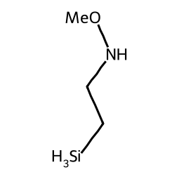 CONCC[SiH3]